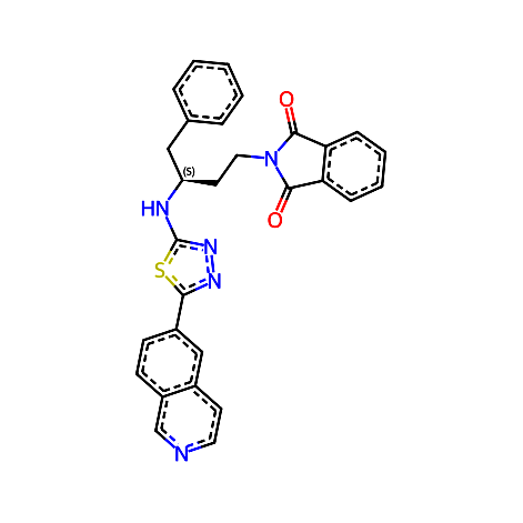 O=C1c2ccccc2C(=O)N1CC[C@H](Cc1ccccc1)Nc1nnc(-c2ccc3cnccc3c2)s1